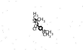 CCN(CC)c1ccc(C(=O)C[n+]2csc(C)c2C)cc1.[Cl-]